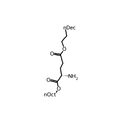 CCCCCCCCCCCCOC(=O)CC[C@H](N)C(=O)OCCCCCCCC